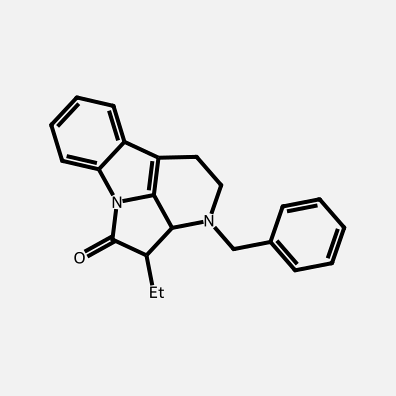 CCC1C(=O)n2c3c(c4ccccc42)CCN(Cc2ccccc2)C31